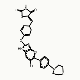 O=C1NC(=O)/C(=C/C2C=CC(Oc3nc4nc(-c5ccc(N6CCOCC6)cc5)c(Cl)cc4[nH]3)=CC2)S1